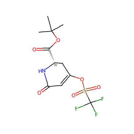 CC(C)(C)OC(=O)[C@@H]1CC(OS(=O)(=O)C(F)(F)F)=CC(=O)N1